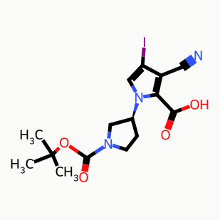 CC(C)(C)OC(=O)N1CC[C@H](n2cc(I)c(C#N)c2C(=O)O)C1